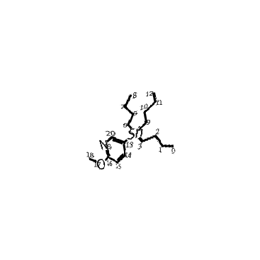 CCC[CH2][Sn]([CH2]CCC)([CH2]CCC)[c]1ccc(OC)nc1